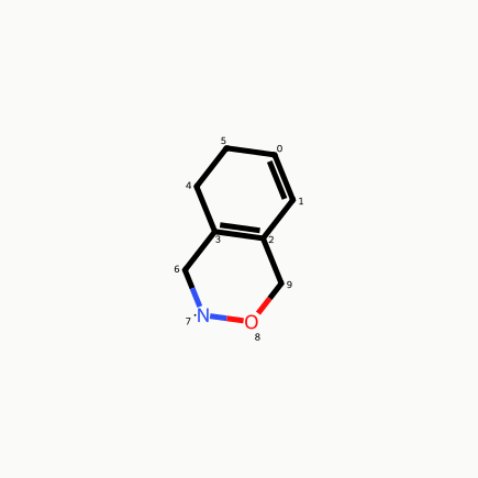 C1=CC2=C(CC1)C[N]OC2